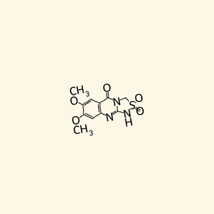 COc1cc2nc3n(c(=O)c2cc1OC)CS(=O)(=O)N3